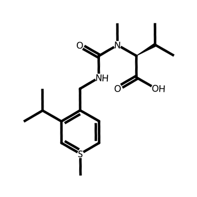 CC(C)C1=C(CNC(=O)N(C)[C@H](C(=O)O)C(C)C)C=CS(C)=C1